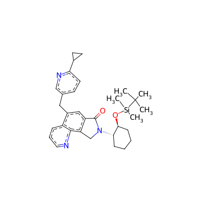 CC(C)(C)[Si](C)(C)O[C@H]1CCCC[C@@H]1N1Cc2c(cc(Cc3ccc(C4CC4)nc3)c3cccnc23)C1=O